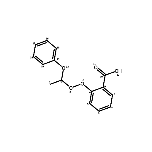 CC(OOc1ccccc1C(=O)O)Oc1ccccc1